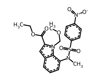 CCOC(=O)c1cc2cccc(N(C)S(=O)(=O)c3ccc([N+](=O)[O-])cc3)c2n1COC